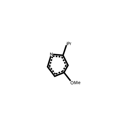 COc1ccnc(C(C)C)c1